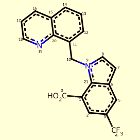 O=C(O)c1cc(C(F)(F)F)cc2ccn(Cc3cccc4cccnc34)c12